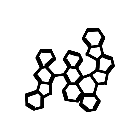 c1ccc(C2Sc3ccc4c(oc5ccccc54)c3C2c2c3ccccc3c(-c3c4ccccc4cc4c3oc3ccccc34)c3ccccc23)cc1